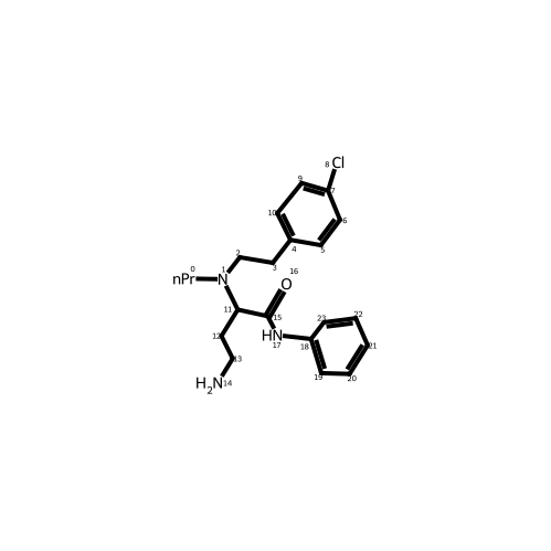 CCCN(CCc1ccc(Cl)cc1)C(CCN)C(=O)Nc1ccccc1